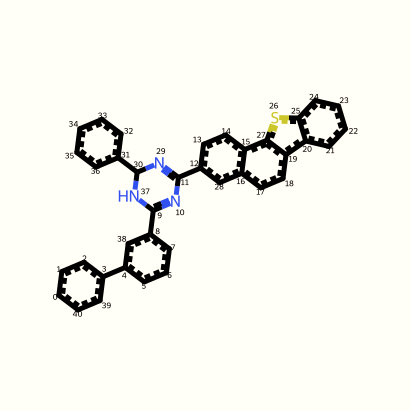 c1ccc(-c2cccc(C3=NC(c4ccc5c(ccc6c7ccccc7sc56)c4)=NC(c4ccccc4)N3)c2)cc1